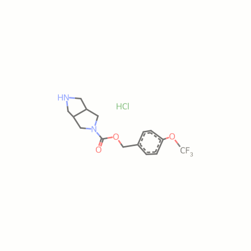 Cl.O=C(OCc1ccc(OC(F)(F)F)cc1)N1CC2CNCC2C1